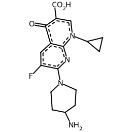 NC1CCN(c2nc3c(cc2F)c(=O)c(C(=O)O)cn3C2CC2)CC1